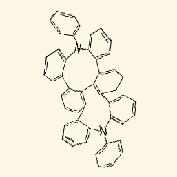 C1=c2c3ccccc3n(-c3ccccc3)c3ccccc3c3cccc4c5ccccc5n(-c5ccccc5)c5ccccc5c(c2c43)CC1